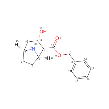 CN1[C@H]2CC[C@@H]1[C@@H](C(=O)OCc1ccccc1)[C@@H](O)C2